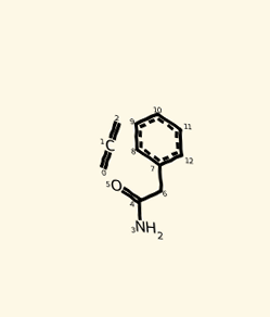 C=C=C.NC(=O)Cc1ccccc1